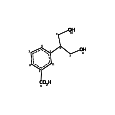 O=C(O)c1cccc(C(CO)CO)c1